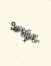 CCCC(NC(=O)[C@@H]1C2C(CN1C(=O)[C@@H](NC(=O)OC(C)C)C(C)(C)C)C2(C)C)C(=O)C(=O)NCC(=O)N[C@H](C(=O)N(C)C)c1ccccc1